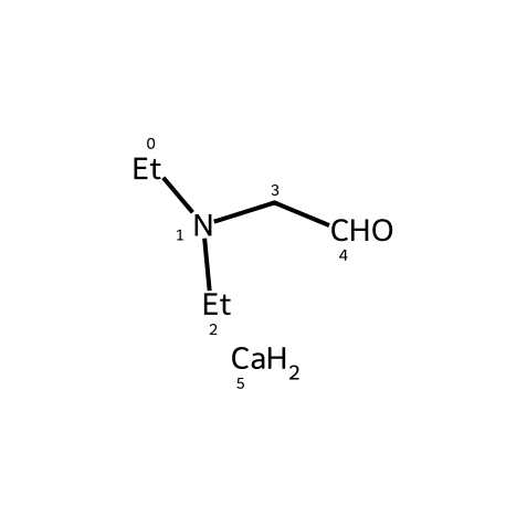 CCN(CC)CC=O.[CaH2]